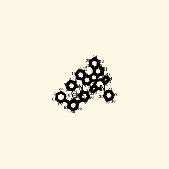 Cc1ccccc1N(c1cc2c(c3ccccc13)-c1c(ccc3ccccc13)C21c2ccccc2N(c2ccccc2)c2ccccc21)c1cccc2c1oc1c(C3CCCCC3)cccc12